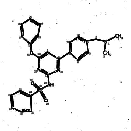 CN(C)Cc1ccc(-c2cc(Oc3ccccc3)nc(NS(=O)(=O)c3ccccc3)n2)cc1